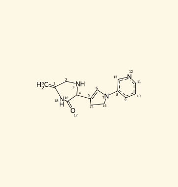 C=C1CNC(C2=CN(c3cccnc3)CC2)C(=O)N1